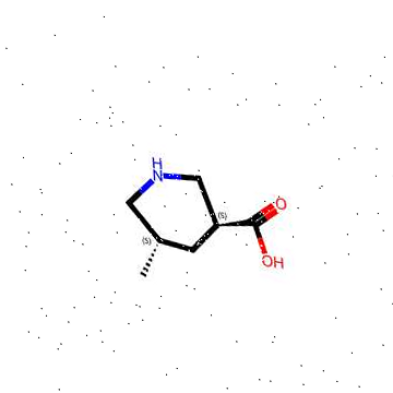 C[C@@H]1CNC[C@@H](C(=O)O)C1